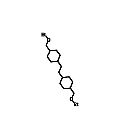 CCOCC1CCC(CCC2CCC(COCC)CC2)CC1